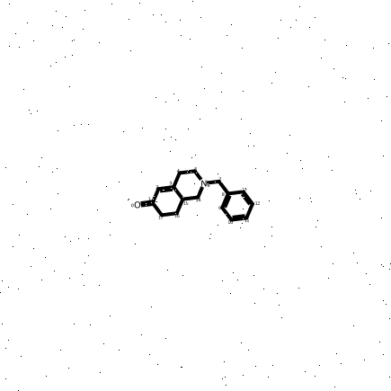 O=C1C=C2CCN(Cc3ccccc3)CC2CC1